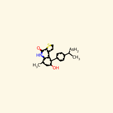 Cc1cc(O)c(-c2ccc(C(C)[AsH2])cc2)c2c1[nH]c(=O)c1sccc12